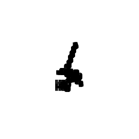 CCCCCCCCCCOc1cc2c(=O)c(C(=O)OCC)cn(COP(=O)(O)O)c2cc1OCC